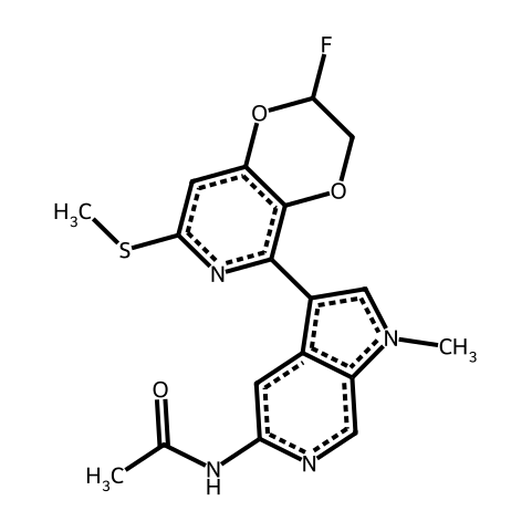 CSc1cc2c(c(-c3cn(C)c4cnc(NC(C)=O)cc34)n1)OCC(F)O2